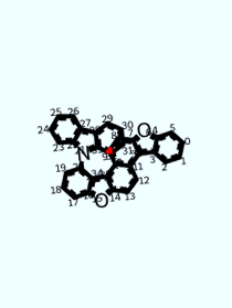 c1ccc2c(c1)oc1ccc3c(ccc4oc5cccc(-n6c7ccccc7c7ccccc76)c5c43)c12